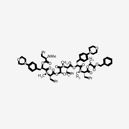 CN[C@@H](CC(C)C)C(=O)O[C@H](Cc1ccc(N2CCOCC2)cc1)C(=O)N(C)[C@@H](CC(C)C)C(=O)O[C@H](C)C(=O)N(C)[C@@H](CC(C)C)C(=O)O[C@H](Cc1ccc(N2CCOCC2)cc1)C(=O)N(C)[C@@H](CC(C)C)C(=O)O[C@H](C)C(=O)OCc1ccccc1